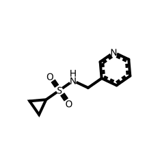 O=S(=O)(NCc1cccnc1)C1CC1